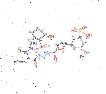 CCCCC[C@@H](C(=O)NCNC(=O)c1ccc(-c2cc(OCC)cc(P(=O)(O)O)c2)o1)[C@@H](CC)N(C=O)OC(=O)c1ccccc1O